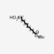 CC(C)(C)OC(=O)CCCCCCCCCCC(=O)O